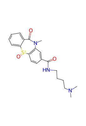 CN(C)CCCCNC(=O)c1ccc2c(c1)N(C)C(=O)c1ccccc1[S+]2[O-]